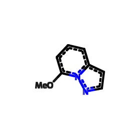 COc1cccc2ccnn12